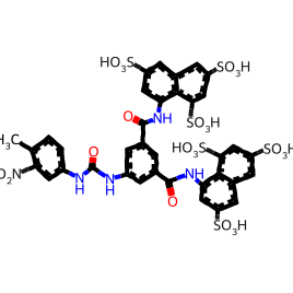 Cc1ccc(NC(=O)Nc2cc(C(=O)Nc3cc(S(=O)(=O)O)cc4cc(S(=O)(=O)O)cc(S(=O)(=O)O)c34)cc(C(=O)Nc3cc(S(=O)(=O)O)cc4cc(S(=O)(=O)O)cc(S(=O)(=O)O)c34)c2)cc1[N+](=O)[O-]